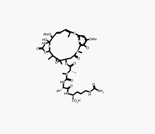 COc1cc2cc(c1Cl)N(C)C(=O)CC(OC(=O)[C@H](C)N(C)C(=O)N[C@H](C(=O)N[C@@H](CCCNC(N)=O)C(=O)O)C(C)C)C1(C)OC1C(C)C1CC(O)(NC(=O)O1)C(OC)/C=C/C=C(\C)C2